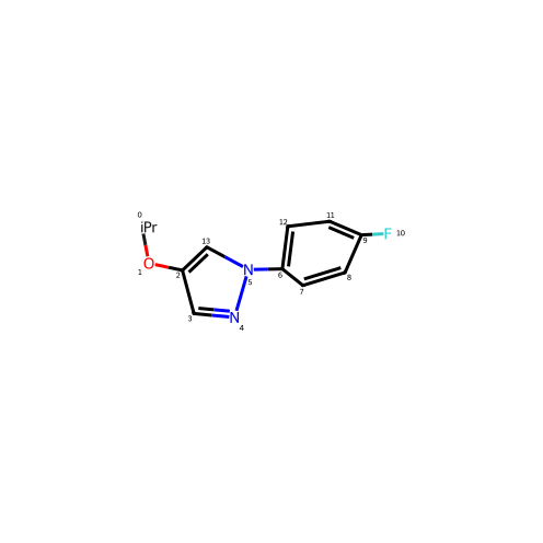 CC(C)Oc1cnn(-c2ccc(F)cc2)c1